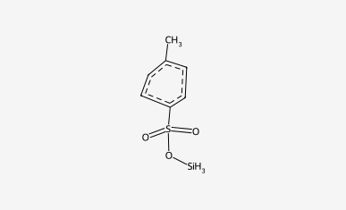 Cc1ccc(S(=O)(=O)O[SiH3])cc1